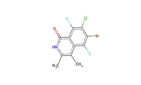 Cc1[nH]c(=O)c2c(F)c(Cl)c(Br)c(F)c2c1C